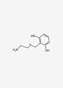 NCCSCc1c(O)cccc1O